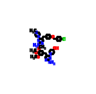 CN1CCN(c2nc(N)ncc2Cc2ccc(OCc3ccc(Cl)cc3)cc2)CC1.COc1cc(Cc2cnc(N)nc2N2CCC(O)CC2)cc(OC)c1OC